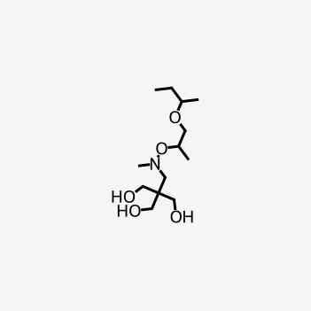 CCC(C)OCC(C)ON(C)CC(CO)(CO)CO